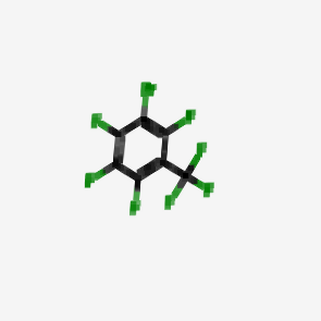 Fc1c(F)c(Br)c(F)c(C(F)(F)F)c1F